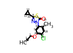 C#CCOc1cc(-n2nc(C3CC3)sc2=O)c(C)cc1Cl